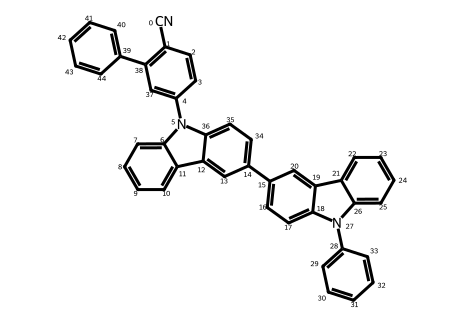 N#Cc1ccc(-n2c3ccccc3c3cc(-c4ccc5c(c4)c4ccccc4n5-c4ccccc4)ccc32)cc1-c1ccccc1